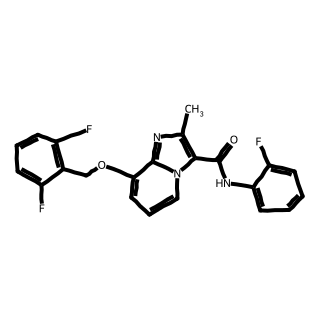 Cc1nc2c(OCc3c(F)cccc3F)cccn2c1C(=O)Nc1ccccc1F